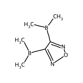 CB(C)c1nonc1B(C)C